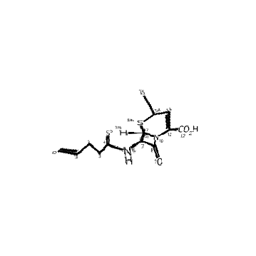 C=CCCC(=S)NC1C(=O)N2C(C(=O)O)=CC(C)S[C@@H]12